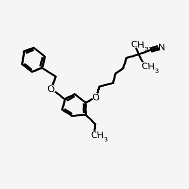 CCc1ccc(OCc2ccccc2)cc1OCCCCCC(C)(C)C#N